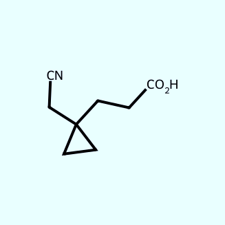 N#CCC1(CCC(=O)O)CC1